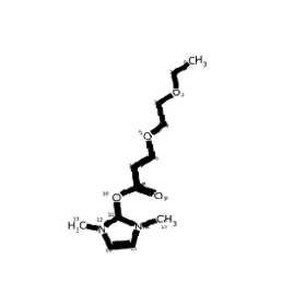 CCOCCOCCC(=O)OC1N(C)C=CN1C